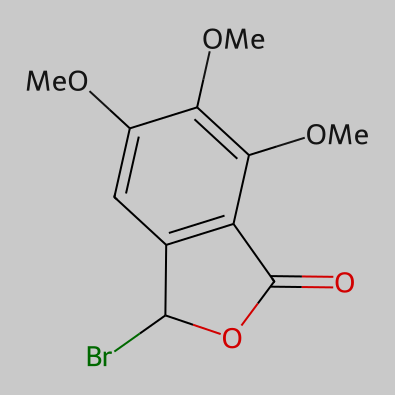 COc1cc2c(c(OC)c1OC)C(=O)OC2Br